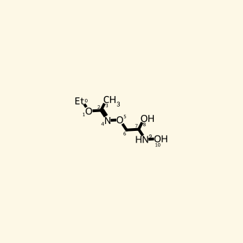 CCO/C(C)=N/OCC(O)NO